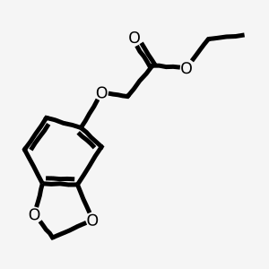 CCOC(=O)COc1ccc2c(c1)OCO2